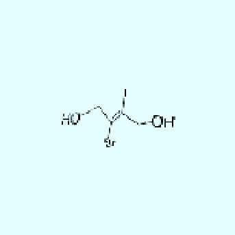 OC/C(Br)=C(\I)CO